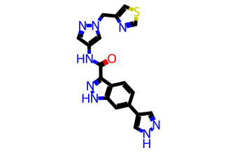 O=C(Nc1cnn(Cc2cscn2)c1)c1n[nH]c2cc(-c3cn[nH]c3)ccc12